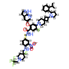 CC(C)c1ccccc1C1CCCN1C1CC2(CCN(c3cc(Oc4cnc5[nH]ccc5c4)c(C(=O)NSc4ccc(NCC5(F)CCN(CC(F)(F)F)CC5)c([N+](=O)[O-])c4)cc3F)CC2)C1